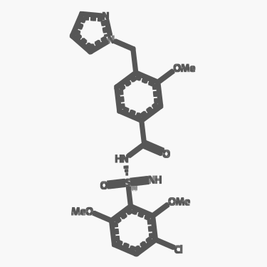 COc1cc(C(=O)N[S@@](=N)(=O)c2c(OC)ccc(Cl)c2OC)ccc1Cn1cccn1